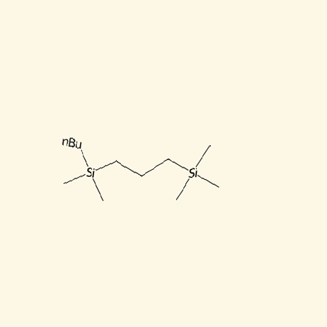 CCCC[Si](C)(C)CCC[Si](C)(C)C